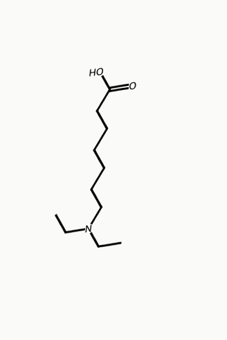 CCN(CC)CCCCCCC(=O)O